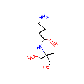 CC(CO)(CO)NC(O)CCCN